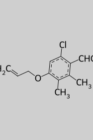 C=CCOc1cc(Cl)c(C=O)c(C)c1C